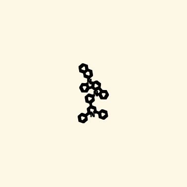 c1ccc(-c2cc(-c3cccc(-n4c5ccccc5c5ccc6c(c7ccccc7n6-c6ccc7ccccc7c6)c54)c3)cc(-c3ccccc3)n2)cc1